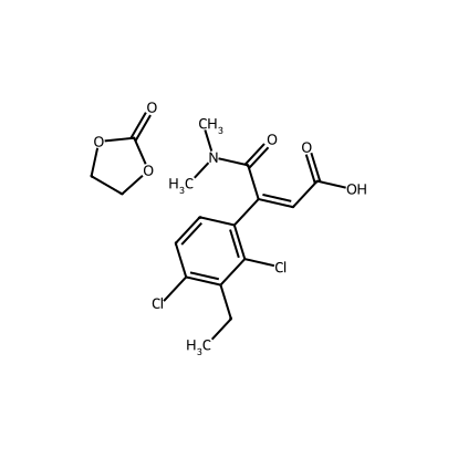 CCc1c(Cl)ccc(C(=CC(=O)O)C(=O)N(C)C)c1Cl.O=C1OCCO1